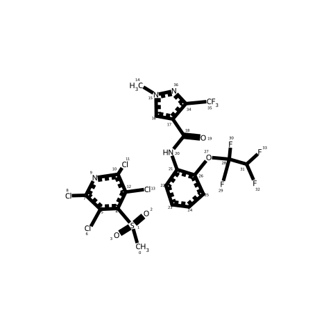 CS(=O)(=O)c1c(Cl)c(Cl)nc(Cl)c1Cl.Cn1cc(C(=O)Nc2ccccc2OC(F)(F)C(F)F)c(C(F)(F)F)n1